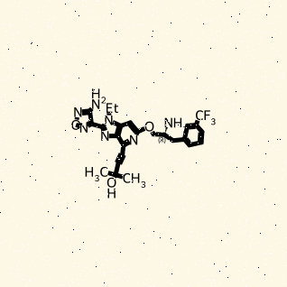 CCn1c(-c2nonc2N)nc2c(C#CC(C)(C)O)nc(OC[C@H](N)Cc3cccc(C(F)(F)F)c3)cc21